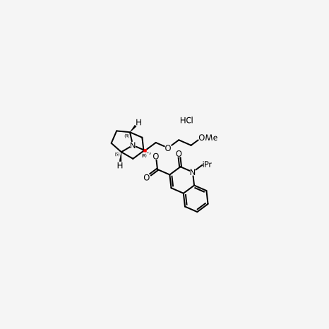 COCCOCCN1[C@@H]2CC[C@H]1C[C@@H](OC(=O)c1cc3ccccc3n(C(C)C)c1=O)C2.Cl